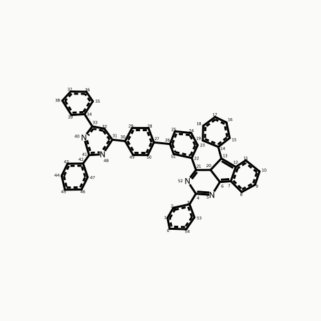 c1ccc(C2=NC3=c4ccccc4=C(c4ccccc4)C3C(c3cccc(-c4ccc(-c5cc(-c6ccccc6)nc(-c6ccccc6)n5)cc4)c3)=N2)cc1